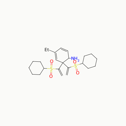 C=C(C1(C(=C)S(=O)(=O)C2CCCCC2)C=C(CC)C=CC1N)S(=O)(=O)C1CCCCC1